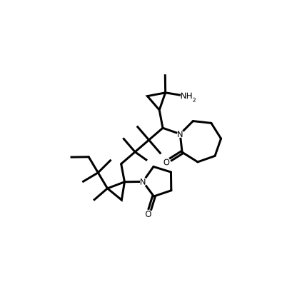 CCC(C)(C)C1(C)CC1(CC(C)(C)C(C)(C)C(C1CC1(C)N)N1CCCCCC1=O)N1CCCC1=O